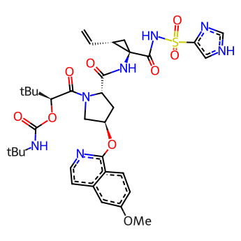 C=C[C@@H]1C[C@]1(NC(=O)[C@@H]1C[C@@H](Oc2nccc3cc(OC)ccc23)CN1C(=O)[C@@H](OC(=O)NC(C)(C)C)C(C)(C)C)C(=O)NS(=O)(=O)c1c[nH]cn1